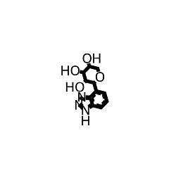 OC1COC(c2cccc3[nH]nnc23)C(O)C1O